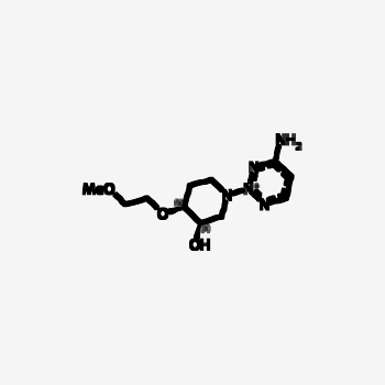 COCCO[C@H]1CCN([n+]2nccc(N)n2)C[C@H]1O